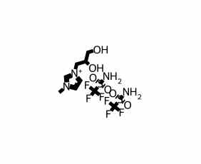 Cn1cc[n+](CC(O)CO)c1.NS(=O)(=O)C(F)(F)F.NS(=O)(=O)C(F)(F)F